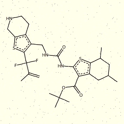 C=C(C)C(F)(F)c1sc2c(c1CNC(=O)Nc1sc3c(c1C(=O)OC(C)(C)C)CC(C)CC3C)CCNC2